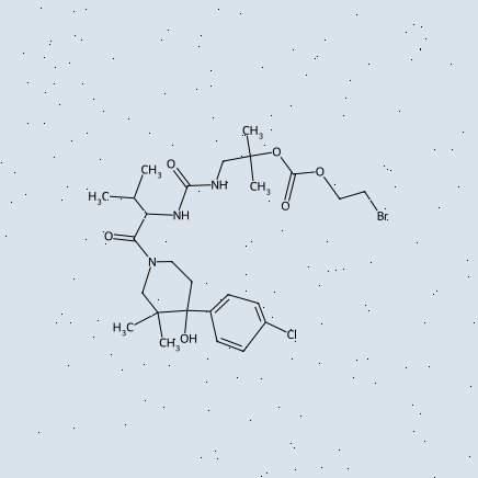 CC(C)C(NC(=O)NCC(C)(C)OC(=O)OCCBr)C(=O)N1CCC(O)(c2ccc(Cl)cc2)C(C)(C)C1